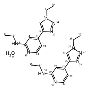 CCNc1cc(-c2cn(CC)nn2)ccn1.CCNc1cc(-c2cn(CC)nn2)ccn1.O